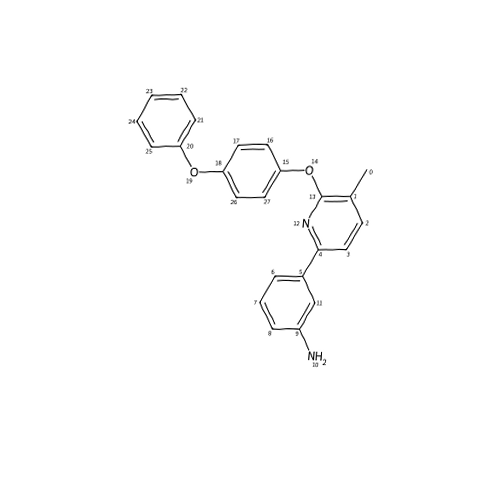 Cc1ccc(-c2cccc(N)c2)nc1Oc1ccc(Oc2ccccc2)cc1